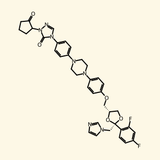 O=C1CCCC1n1ncn(-c2ccc(N3CCN(c4ccc(OC[C@@H]5CO[C@@](Cn6ccnc6)(c6ccc(F)cc6F)O5)cc4)CC3)cc2)c1=O